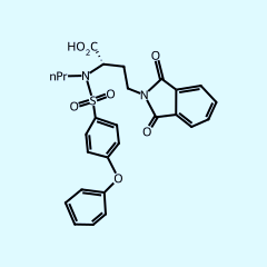 CCCN([C@@H](CCN1C(=O)c2ccccc2C1=O)C(=O)O)S(=O)(=O)c1ccc(Oc2ccccc2)cc1